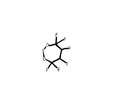 FC1C(F)C(F)(F)OSOC1(F)F